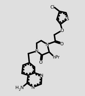 CCCC1C(=O)N(Cc2ccc3c(N)ncnc3c2)CCN1C(=O)COc1cc(Cl)cs1